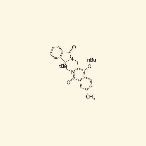 CCCCOc1c(CN2C(=O)c3ccccc3C2=O)n(CC(C)(C)C)c(=O)c2cc(C)ccc12